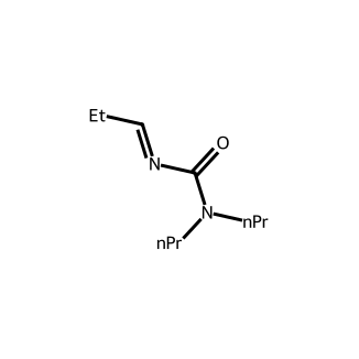 CCC=NC(=O)N(CCC)CCC